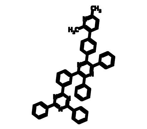 Cc1ccc(-c2ccc(-c3nc(-c4cccc(-c5nc(-c6ccccc6)nc(-c6ccccc6)n5)c4)c(-c4ccccc4)nc3-c3ccccc3)cc2)c(C)n1